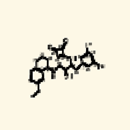 CCc1ccc2c(c1)C(NCC(O)C(Cc1cc(F)cc(F)c1)Nc1cc(=O)c1=O)CCC2